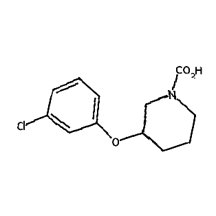 O=C(O)N1CCCC(Oc2cccc(Cl)c2)C1